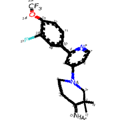 CC(=O)NC1CCN(c2ccnc(-c3ccc(OC(F)(F)F)c(F)c3)c2)CC1(C)C